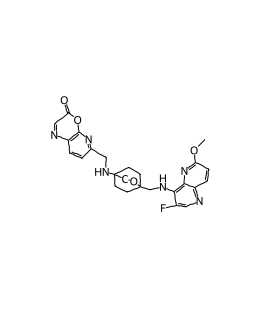 COc1ccc2ncc(F)c(NCC34CCC(NCc5ccc6ncc(=O)oc6n5)(CC3)CO4)c2n1